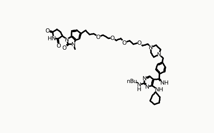 CCCCNc1ncc(C(=N)c2ccc(CN3CCN(CCOCCOCCOCCOCCCc4ccc5c(c4)n(C)c(=O)n5C4CCC(=O)NC4=O)CC3)cc2)c(NC2CCCCC2)n1